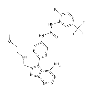 COCCNCc1cn2ncnc(N)c2c1-c1ccc(NC(=O)Nc2cc(C(F)(F)F)ccc2F)cc1